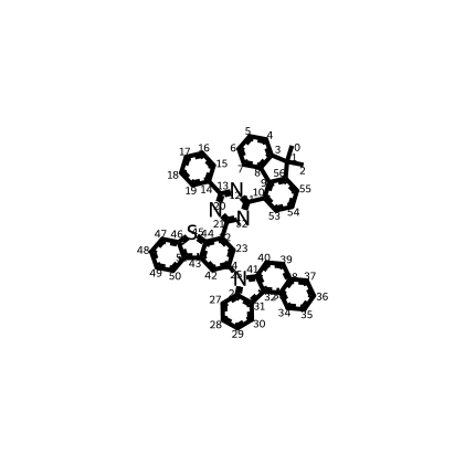 CC1(C)c2ccccc2-c2c(-c3nc(-c4ccccc4)nc(-c4cc(-n5c6ccccc6c6c7ccccc7ccc65)cc5c4sc4ccccc45)n3)cccc21